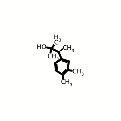 Cc1ccc([C@H](C)C(C)(C)O)cc1C